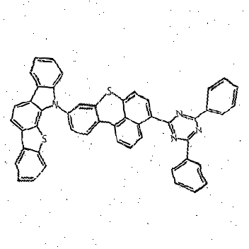 c1ccc(-c2nc(-c3ccccc3)nc(-c3ccc4c5c(cccc35)-c3ccc(-n5c6ccccc6c6ccc7c8ccccc8sc7c65)cc3S4)n2)cc1